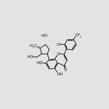 CN1CCC(c2c(O)cc(O)c3c(=O)cc(-c4ccc(C(F)(F)F)cc4Cl)oc23)C1CO.Cl